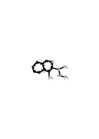 Cc1c(P(P)PP)ncc2ccccc12